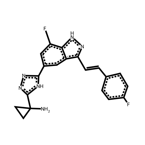 NC1(c2nnc(-c3cc(F)c4[nH]nc(C=Cc5ccc(F)cc5)c4c3)[nH]2)CC1